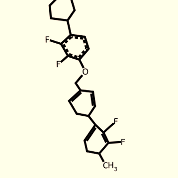 CC1CC=C(C2C=CC(COc3ccc(C4CCCCC4)c(F)c3F)=CC2)C(F)=C1F